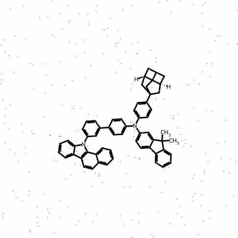 CC1(C)c2ccccc2-c2ccc(N(c3ccc(-c4cccc(-n5c6ccccc6c6ccc7ccccc7c65)c4)cc3)c3ccc(C45C[C@@H]6CC7C[C@@H](C4)C76C5)cc3)cc21